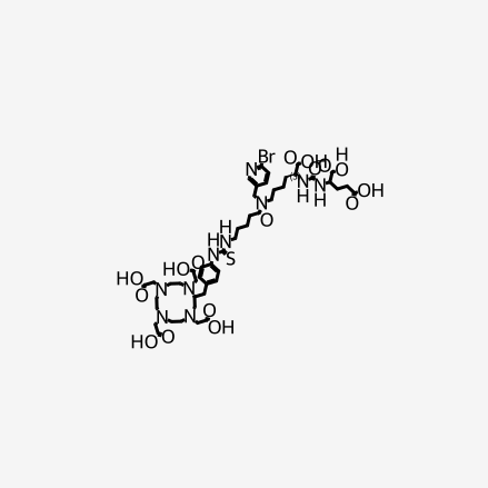 O=C(O)CCC(NC(=O)N[C@@H](CCCCN(Cc1ccc(Br)nc1)C(=O)CCCCNC(=S)Nc1ccc(CC2CN(CC(=O)O)CCN(CC(=O)O)CCN(CC(=O)O)CCN2CC(=O)O)cc1)C(=O)O)C(=O)O